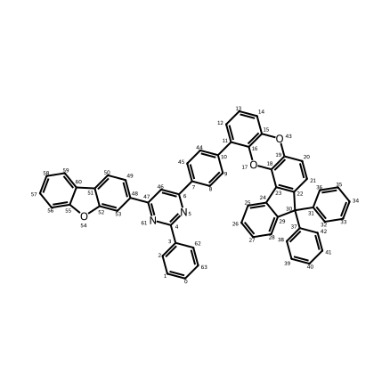 c1ccc(-c2nc(-c3ccc(-c4cccc5c4Oc4c(ccc6c4-c4ccccc4C6(c4ccccc4)c4ccccc4)O5)cc3)cc(-c3ccc4c(c3)oc3ccccc34)n2)cc1